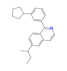 CCC(C)c1ccc2c(-c3cccc(C4CCCC4)c3)nccc2c1